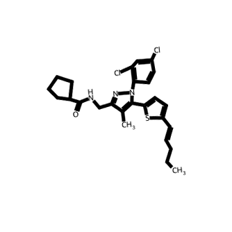 CCCC=Cc1ccc(-c2c(C)c(CNC(=O)C3CCCC3)nn2-c2ccc(Cl)cc2Cl)s1